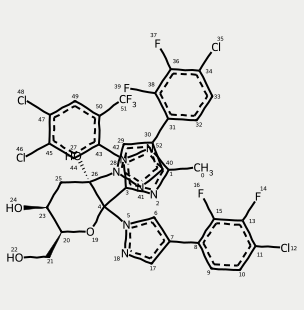 Cc1nc(C2(n3cc(-c4ccc(Cl)c(F)c4F)cn3)O[C@@H](CO)[C@@H](O)C[C@@]2(O)n2cc(-c3ccc(Cl)c(F)c3F)cn2)n(-c2cc(Cl)c(Cl)cc2C(F)(F)F)n1